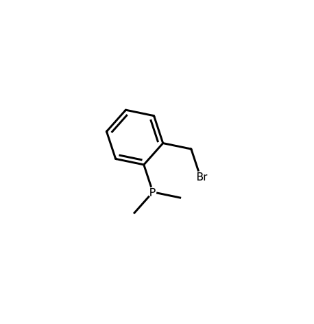 CP(C)c1ccccc1CBr